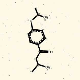 CC(O)CC(=O)c1ccc(OC(C)O)cc1